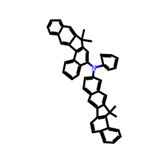 CC1(C)c2cc3ccccc3cc2-c2c1cc(N(c1ccccc1)c1ccc3cc4c(cc3c1)C(C)(C)c1c-4ccc3ccccc13)c1ccccc21